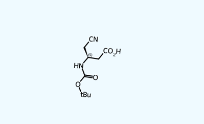 CC(C)(C)OC(=O)N[C@@H](CC#N)CC(=O)O